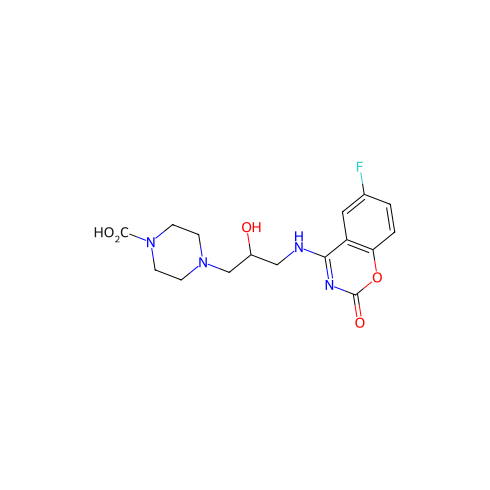 O=C(O)N1CCN(CC(O)CNc2nc(=O)oc3ccc(F)cc23)CC1